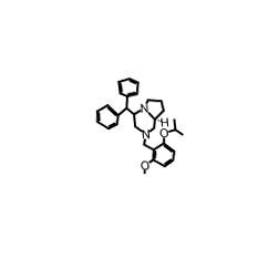 COc1cccc(OC(C)C)c1CN1CC(C(c2ccccc2)c2ccccc2)N2CCC[C@H]2C1